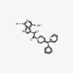 COc1ncc(OC)c2c(C(=O)C(=O)N3CCC(=C(c4ccccc4)c4ccccn4)CC3)c[nH]c12